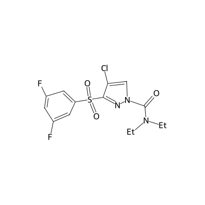 CCN(CC)C(=O)n1cc(Cl)c(S(=O)(=O)c2cc(F)cc(F)c2)n1